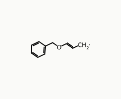 [CH2]/C=C/OCc1ccccc1